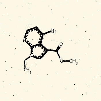 CCn1cc(C(=O)OC)c2c(Br)ccnc21